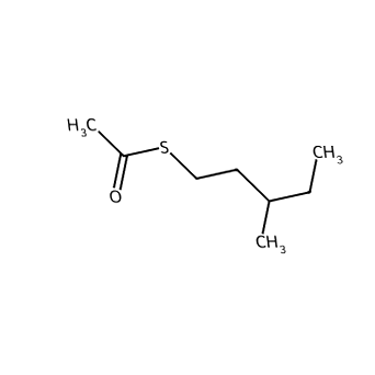 CCC(C)CCSC(C)=O